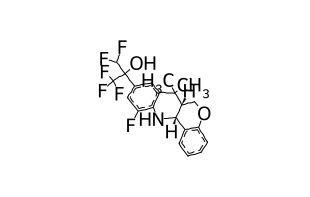 CC1(C)c2cc(C(O)(C(F)F)C(F)(F)F)cc(F)c2N[C@H]2c3ccccc3OC[C@H]21